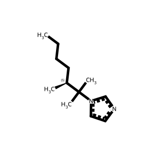 CCCC[C@H](C)C(C)(C)n1ccnc1